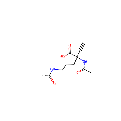 C#CC(CCCNC(C)=O)(NC(C)=O)C(=O)O